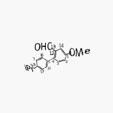 COc1ccc(-c2ccc(C(C)C)cc2)c(C=O)c1